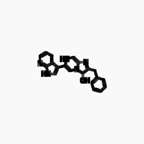 OC1C(Cc2ccccc2)=NC2=CNC(c3c[nH]c4ncccc34)=CN21